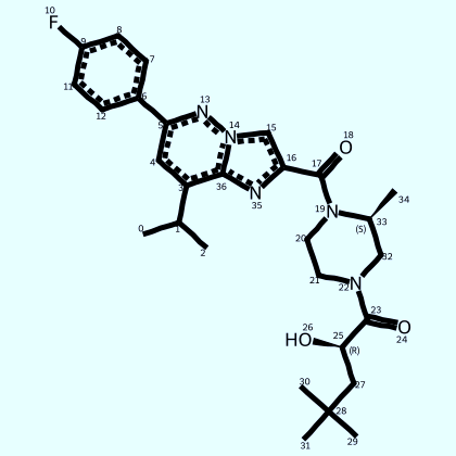 CC(C)c1cc(-c2ccc(F)cc2)nn2cc(C(=O)N3CCN(C(=O)[C@H](O)CC(C)(C)C)C[C@@H]3C)nc12